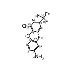 Nc1ccc(Oc2ccc(C(F)(F)F)cc2Cl)c(F)c1